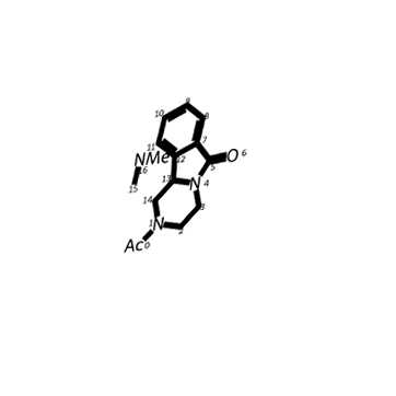 CC(=O)N1CCN2C(=O)c3ccccc3C2C1.CNC